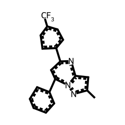 Cc1cc2nc(-c3ccc(C(F)(F)F)cc3)cc(-c3ccccc3)n2n1